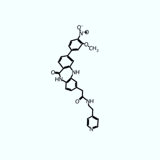 COc1cc(-c2ccc3c(c2)Nc2cc(CC(=O)NCCc4ccncc4)ccc2NC3=O)ccc1[N+](=O)[O-]